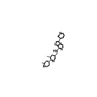 Cc1cc(-c2ncc(CNc3nccn4c(-c5cccnc5)cnc34)cc2C)ccn1